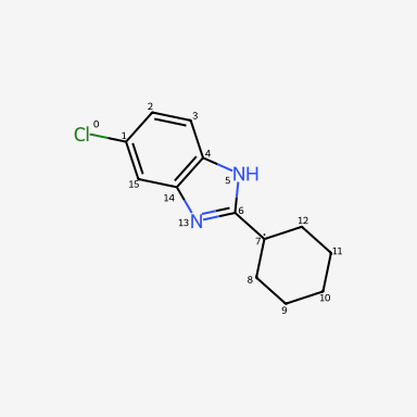 Clc1ccc2[nH]c([C]3CCCCC3)nc2c1